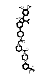 COc1ccc(-c2[nH]c3ccc(C4CCN(C(=O)CN5CCC[C@H](C(=O)N6CCN(c7cccc(C(F)(F)F)c7)CC6)C5)CC4)cc3c2C(C)C)cc1OC